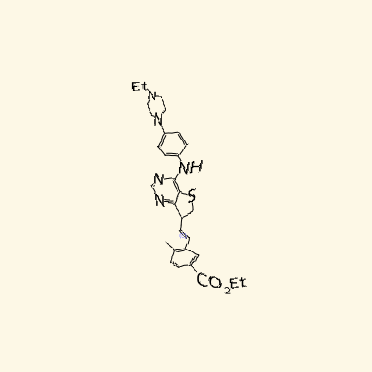 CCOC(=O)c1ccc(C)c(/C=C/C2CSc3c(Nc4ccc(N5CCN(CC)CC5)cc4)ncnc32)c1